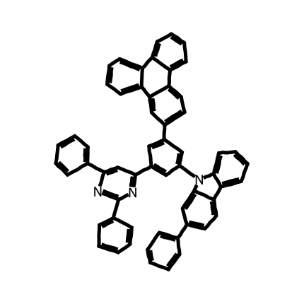 c1ccc(-c2ccc3c4ccccc4n(-c4cc(-c5ccc6c7ccccc7c7ccccc7c6c5)cc(-c5cc(-c6ccccc6)nc(-c6ccccc6)n5)c4)c3c2)cc1